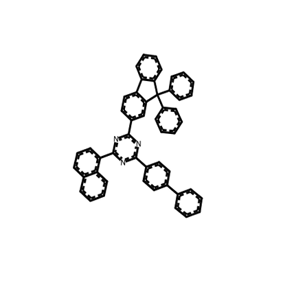 c1ccc(-c2ccc(-c3nc(-c4ccc5c(c4)C(c4ccccc4)(c4ccccc4)c4ccccc4-5)nc(-c4cccc5ccccc45)n3)cc2)cc1